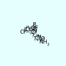 NC(=O)c1ccc(Cc2cnc(OC(F)F)c(-c3cccc(Cl)c3)c2)cn1